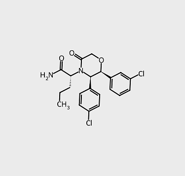 CCC[C@H](C(N)=O)N1C(=O)CO[C@@H](c2cccc(Cl)c2)[C@H]1c1ccc(Cl)cc1